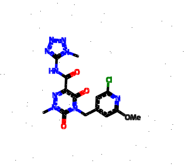 COc1cc(Cn2c(=O)c(C(=O)Nc3nnnn3C)nn(C)c2=O)cc(Cl)n1